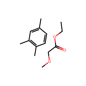 CCOC(=O)COC.Cc1ccc(C)c(C)c1